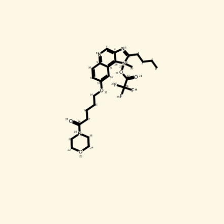 CCCCC1=Nc2cnc3ccc(OCCCCC(=O)N4CCOCC4)cc3c2[N+]1(C)OC(=O)C(F)(F)F